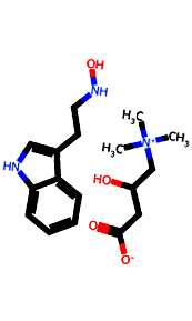 C[N+](C)(C)CC(O)CC(=O)[O-].ONCCc1c[nH]c2ccccc12